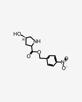 O=C(OCc1ccc([N+](=O)[O-])cc1)C1C[C@@H](O)CN1